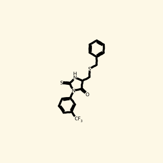 O=C1C(CSCc2ccccc2)NC(=S)N1c1cccc(C(F)(F)F)c1